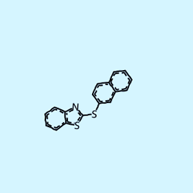 c1ccc2cc(Sc3nc4ccccc4s3)ccc2c1